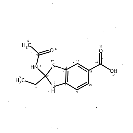 CCC1(NC(C)=O)Nc2ccc(C(=O)O)cc2S1